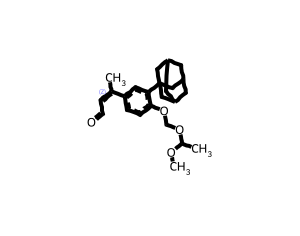 COC(C)OCOc1ccc(/C(C)=C\C=O)cc1C12CC3CC(CC(C3)C1)C2